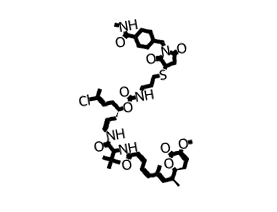 CNC(=O)C1CCC(CN2C(=O)CC(SCCCNC(=O)O[C@H](C/C=C\NC(=O)C(NC(=O)\C=C/C=C\C(C)=C\[C@H](C)[C@@H]3CC=C(OC)C(=O)O3)C(C)(C)C)C/C=C(\C)Cl)C2=O)CC1